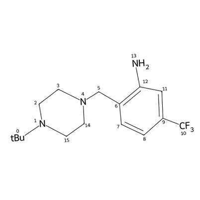 CC(C)(C)N1CCN(Cc2ccc(C(F)(F)F)cc2N)CC1